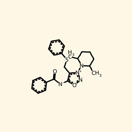 CC1CCCC(C)N1[n+]1noc([N-]C(=O)c2ccccc2)c1CSc1ccccc1